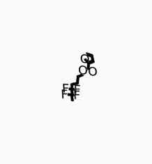 CC(F)(F)C(F)(F)CCCCOC(=O)c1ccco1